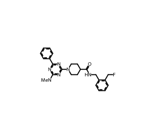 CNc1nc(-c2ccccc2)nc(N2CCC(C(=O)NCc3ccccc3CF)CC2)n1